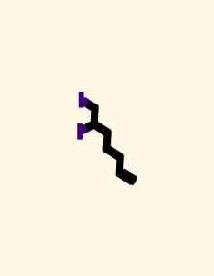 C=CCCCC(I)CI